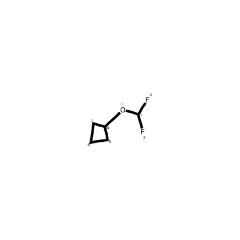 F[C](F)OC1CCC1